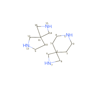 C1CC2(CCN1)CNC2.C1CC2(CN1)CNC2